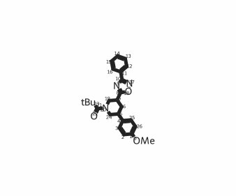 COc1ccc(C2CC(c3nc(-c4ccccc4)no3)CN(C(=O)C(C)(C)C)C2)cc1